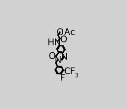 CC(=O)OCC(=O)Nc1ccc2ncn(Cc3ccc(F)c(C(F)(F)F)c3)c(=O)c2c1